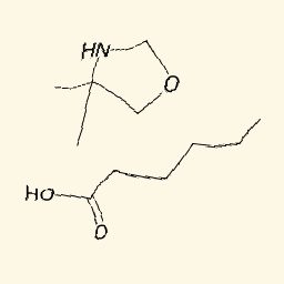 CC1(C)COCN1.CCCCCC(=O)O